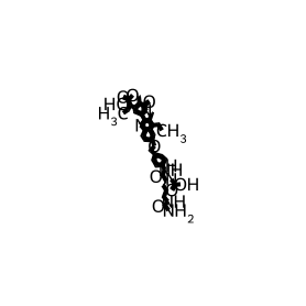 CCc1c2c(nc3ccc(OCc4ccc(NC(=O)[C@H](CCCNC(N)=O)NC(=O)O)cc4)cc13)-c1cc3c(c(=O)n1C2)COC(=O)[C@]3(O)CC